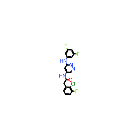 O=C(Cc1cccc(F)c1Cl)Nc1cnnc(Nc2cc(F)cc(F)c2)c1